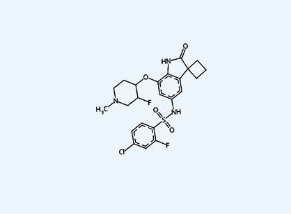 CN1CCC(Oc2cc(NS(=O)(=O)c3ccc(Cl)cc3F)cc3c2NC(=O)C32CCC2)C(F)C1